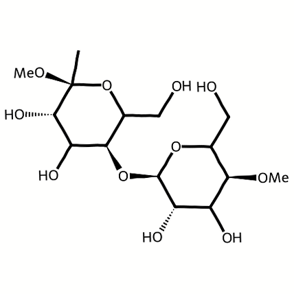 CO[C@@H]1C(CO)O[C@H](O[C@@H]2C(CO)O[C@](C)(OC)[C@@H](O)C2O)[C@@H](O)C1O